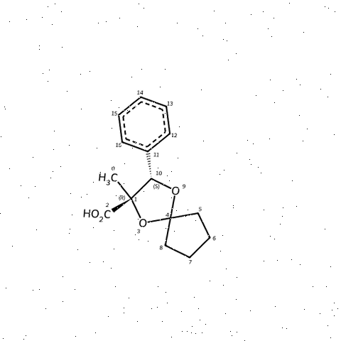 C[C@@]1(C(=O)O)OC2(CCCC2)O[C@H]1c1ccccc1